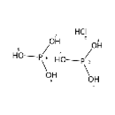 Cl.OP(O)O.OP(O)O